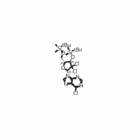 CC(C)(C)[Si](C)(C)OC[C@H]1O[C@@H](n2cnc3c(Cl)ncnc32)C(Cl)(Cl)[C@@H]1O[Si](C)(C)C(C)(C)C